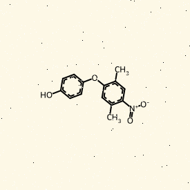 Cc1cc([N+](=O)[O-])c(C)cc1Oc1ccc(O)cc1